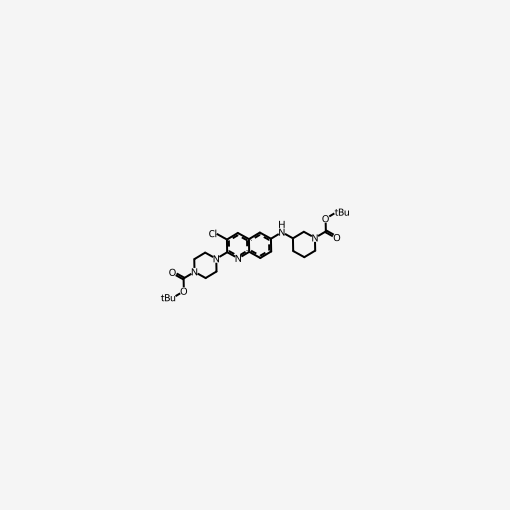 CC(C)(C)OC(=O)N1CCN(c2nc3ccc(NC4CCCN(C(=O)OC(C)(C)C)C4)cc3cc2Cl)CC1